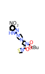 CC(C)(C)OC(=O)N1C[C@@H](N2CCN(c3nc4cc([N+](=O)[O-])ccc4[nH]3)CC2)C[C@H]1C(=O)N1CCSC1